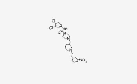 O=C(Nc1ccc(Cl)c(Cl)c1)N1CCN(C[C@@H]2CCCN(CCc3cccc([N+](=O)[O-])c3)C2)CC1